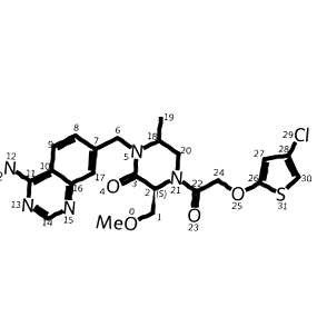 COC[C@H]1C(=O)N(Cc2ccc3c(N)ncnc3c2)C(C)CN1C(=O)COc1cc(Cl)cs1